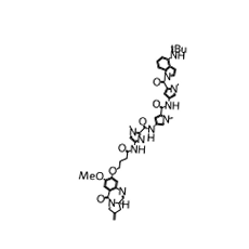 C=C1C[C@H]2C=Nc3cc(OCCCC(=O)Nc4cn(C)c(C(=O)Nc5cc(C(=O)Nc6cc(C(=O)n7ccc8c(NC(C)(C)C)cccc87)n(C)c6)n(C)c5)n4)c(OC)cc3C(=O)N2C1